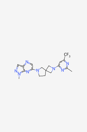 Cc1nc(N2CC3(CCN(c4cnc5cnn(C)c5n4)C3)C2)cc(C(F)(F)F)n1